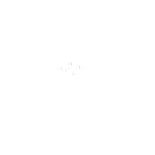 Cl.Cl.[CH3][Ti]([CH3])(=[SiH2])([CH]1CCC2CC=CC=C21)[CH]1CCC2CC=CC=C21